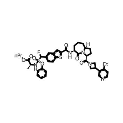 CCCOC(=O)[C@H](C)NP(=O)(Oc1ccccc1)C(F)c1ccc2sc(C(=O)N[C@H]3CCC[C@H]4CC[C@@H](C(=O)N5CC(c6cnccc6CC)C5)N4C3=O)cc2c1